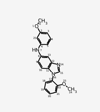 COc1cccc(Nc2ccc3c(c2)ncn3-c2ccccc2OC)c1